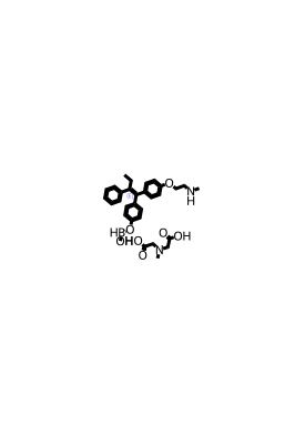 CC/C(=C(/c1ccc(OBO)cc1)c1ccc(OCCNC)cc1)c1ccccc1.CN(CC(=O)O)CC(=O)O